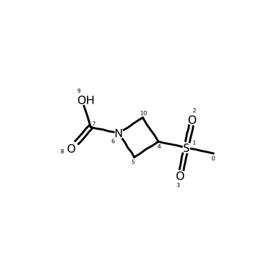 CS(=O)(=O)C1CN(C(=O)O)C1